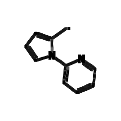 [CH2]c1cccn1-c1ccccn1